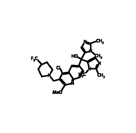 COc1nc2ccc(C(O)(c3cnc(C)n3C)c3cnc(C)n3C)cc2c(Cl)c1CN1CCC(C(F)(F)F)CC1